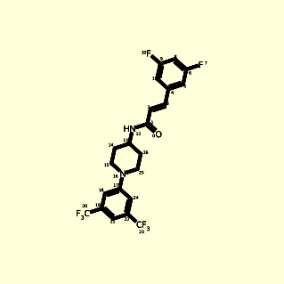 O=C(/C=C/c1cc(F)cc(F)c1)NC1CCN(c2cc(C(F)(F)F)cc(C(F)(F)F)c2)CC1